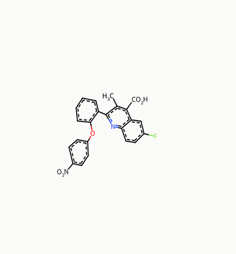 Cc1c(-c2ccccc2Oc2ccc([N+](=O)[O-])cc2)nc2ccc(F)cc2c1C(=O)O